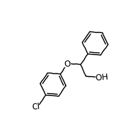 OCC(Oc1ccc(Cl)cc1)c1ccccc1